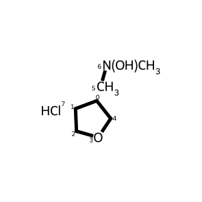 C1CCOC1.CN(C)O.Cl